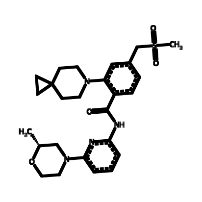 C[C@@H]1CN(c2cccc(NC(=O)c3ccc(CS(C)(=O)=O)cc3N3CCC4(CC3)CC4)n2)CCO1